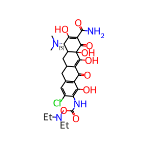 CCN(CC)OC(=O)Nc1c(Cl)cc2c(c1O)C(=O)C1=C(O)C3(O)C(=O)C(C(N)=O)=C(O)[C@@H](N(C)C)C3CC1C2